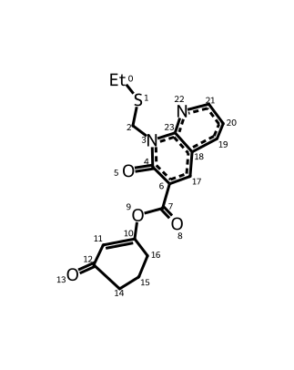 CCSCn1c(=O)c(C(=O)OC2=CC(=O)CCC2)cc2cccnc21